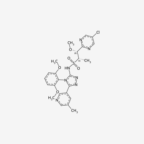 COc1cccc(OC)c1-n1c(NS(=O)(=O)[C@@H](C)[C@H](OC)c2ncc(Cl)cn2)nnc1-c1cncc(C)c1